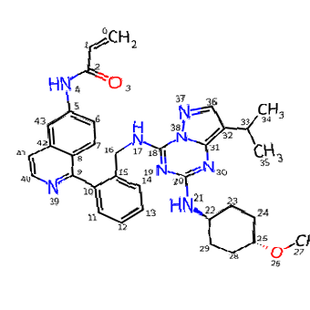 C=CC(=O)Nc1ccc2c(-c3ccccc3CNc3nc(N[C@H]4CC[C@H](OC)CC4)nc4c(C(C)C)cnn34)nccc2c1